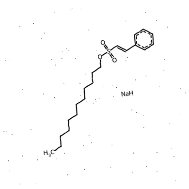 CCCCCCCCCCCCOS(=O)(=O)C=Cc1ccccc1.[NaH]